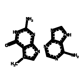 Cn1cnc2nc(N)[nH]c(=O)c21.Nc1ncnc2nc[nH]c12